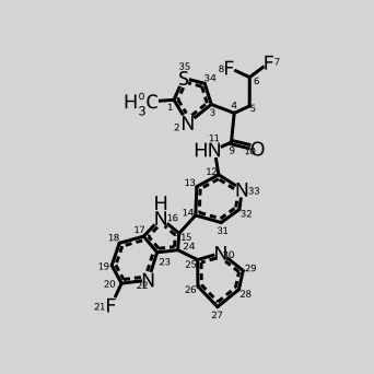 Cc1nc(C(CC(F)F)C(=O)Nc2cc(-c3[nH]c4ccc(F)nc4c3-c3ccccn3)ccn2)cs1